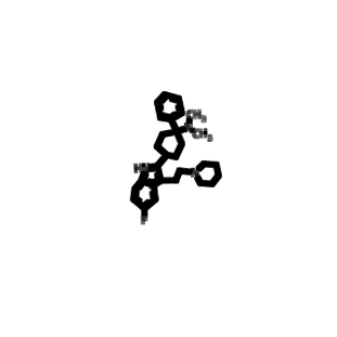 CN(C)C1(c2ccccc2)CCC(c2[nH]c3ccc(F)cc3c2CCN2CCCCC2)CC1